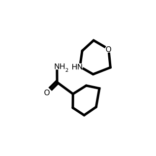 C1COCCN1.NC(=O)C1CCCCC1